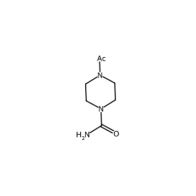 CC(=O)N1CCN(C(N)=O)CC1